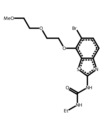 CCNC(=O)Nc1nc2ccc(Br)c(OCCOCCOC)c2s1